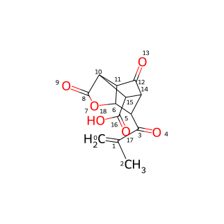 C=C(C)C(=O)C1C2OC(=O)C3C2C(=O)C1C3C(=O)O